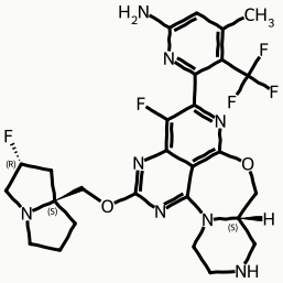 Cc1cc(N)nc(-c2nc3c4c(nc(OC[C@@]56CCCN5C[C@H](F)C6)nc4c2F)N2CCNC[C@H]2CO3)c1C(F)(F)F